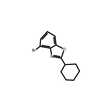 Brc1cccc2oc(C3CCCCC3)nc12